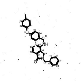 Cc1ccc(Oc2ccc([C@H](C)Nc3nccc4c3CN(Cc3ccccc3)C4=O)cc2)cc1